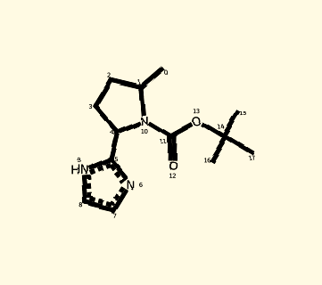 CC1CCC(c2ncc[nH]2)N1C(=O)OC(C)(C)C